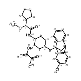 COC(C(=O)NC1CCN(CC23CC(c4ccccc42)c2ccc(Cl)cc23)CC1)C1CCCC1.O=C(O)C(=O)O